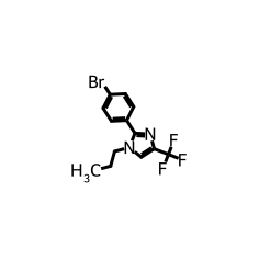 CCCn1cc(C(F)(F)F)nc1-c1ccc(Br)cc1